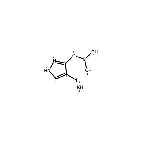 OB(O)Oc1n[nH]cc1I.[KH]